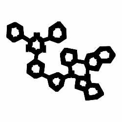 c1ccc(-c2nc(-c3ccccc3)nc(-c3cccc(-c4cccc(N5c6ccccc6-c6cc7ccccc7cc6-n6c5cc5ccccc56)c4)c3)n2)cc1